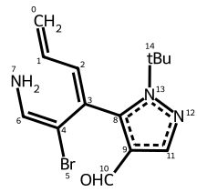 C=C/C=C(\C(Br)=C/N)c1c(C=O)cnn1C(C)(C)C